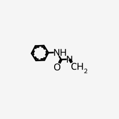 C=NC(=O)Nc1ccccc1